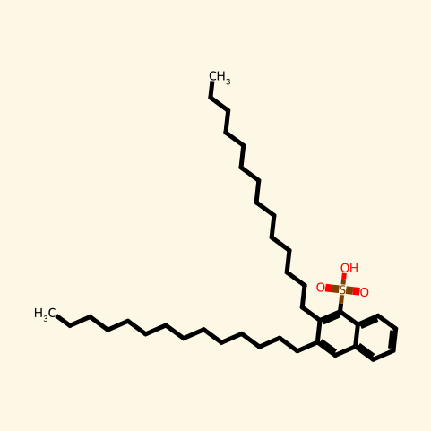 CCCCCCCCCCCCCCc1cc2ccccc2c(S(=O)(=O)O)c1CCCCCCCCCCCCCC